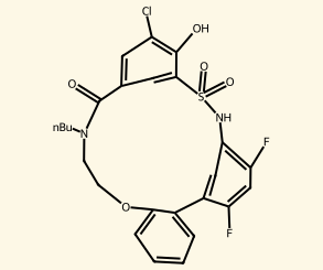 CCCCN1CCOc2ccccc2-c2cc(c(F)cc2F)NS(=O)(=O)c2cc(cc(Cl)c2O)C1=O